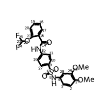 COc1ccc(NS(=O)(=O)c2ccc(NC(=O)c3ccccc3OC(F)F)cc2)cc1OC